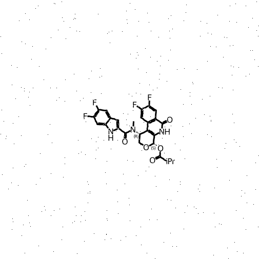 CC(C)C(=O)O[C@@H]1OC[C@H](N(C)C(=O)c2cc3cc(F)c(F)cc3[nH]2)c2c1[nH]c(=O)c1cc(F)c(F)cc21